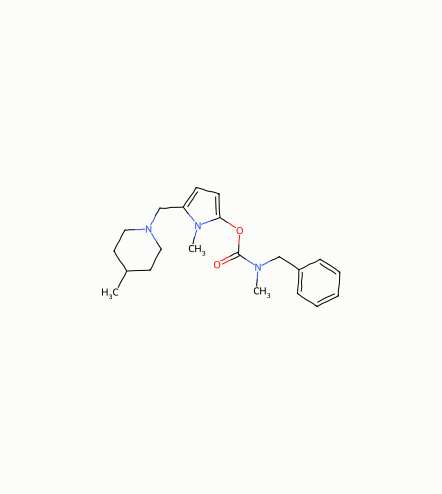 CC1CCN(Cc2ccc(OC(=O)N(C)Cc3ccccc3)n2C)CC1